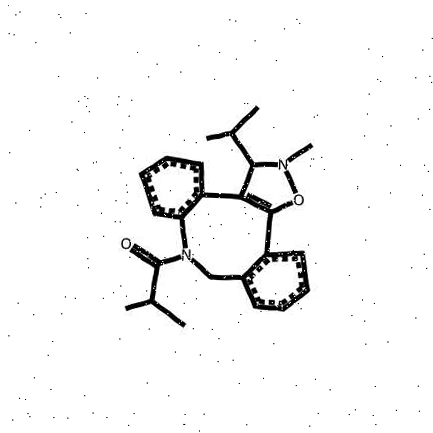 CC(C)C(=O)N1Cc2ccccc2C2=C(c3ccccc31)C(C(C)C)N(C)O2